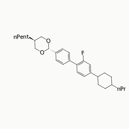 CCCCC[C@H]1CO[C@H](c2ccc(-c3ccc(C4CCC(CCC)CC4)cc3F)cc2)OC1